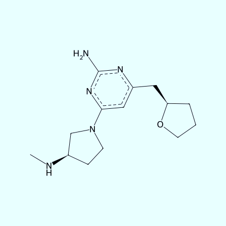 CN[C@@H]1CCN(c2cc(C[C@H]3CCCO3)nc(N)n2)C1